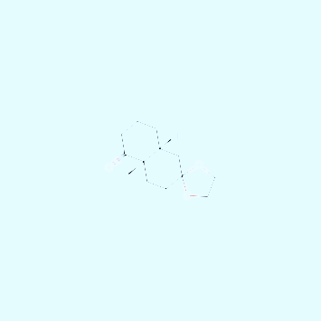 C[C@]12CCC3(C[C@H]1CCCC2=O)OCCO3